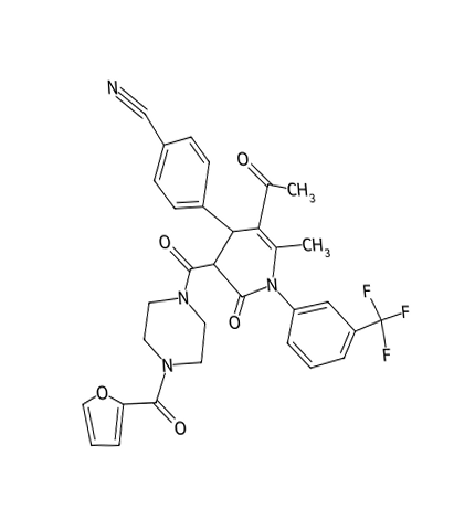 CC(=O)C1=C(C)N(c2cccc(C(F)(F)F)c2)C(=O)C(C(=O)N2CCN(C(=O)c3ccco3)CC2)C1c1ccc(C#N)cc1